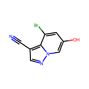 N#Cc1cnn2cc(O)cc(Br)c12